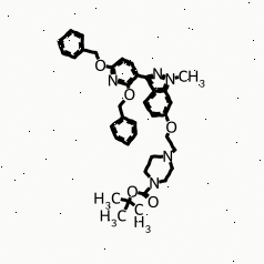 Cn1nc(-c2ccc(OCc3ccccc3)nc2OCc2ccccc2)c2ccc(OCCN3CCN(C(=O)OC(C)(C)C)CC3)cc21